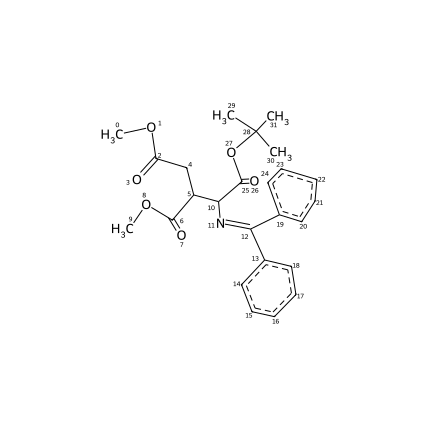 COC(=O)CC(C(=O)OC)C(N=C(c1ccccc1)c1ccccc1)C(=O)OC(C)(C)C